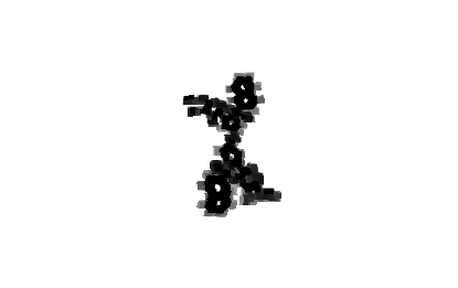 COC(=O)[C@@H](NC(=O)[C@@H]1C[C@H](SS[C@H]2C[C@@H](C(=O)N[C@H](C(=O)OC)C(C)C)N(S(=O)(=O)c3ccc4ccccc4c3)C2)CN1S(=O)(=O)c1ccc2ccccc2c1)C(C)C